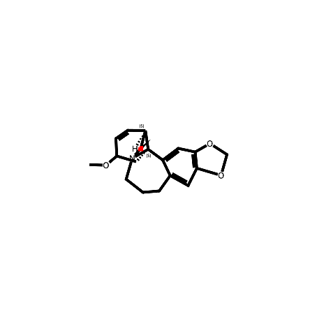 COC1C=C[C@@H]2CCN3CCCc4cc5c(cc4[C@]23C1)OCO5